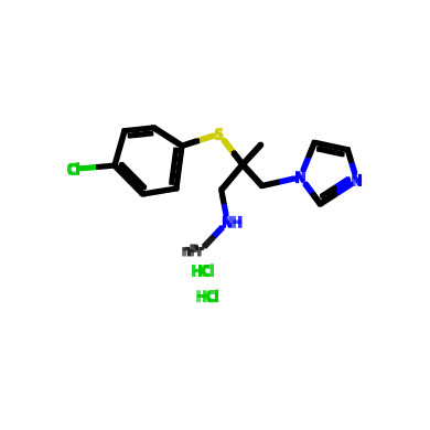 CCCNCC(C)(Cn1ccnc1)Sc1ccc(Cl)cc1.Cl.Cl